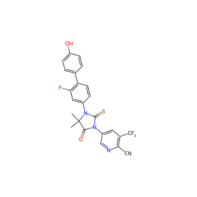 CC1(C)C(=O)N(c2cnc(C#N)c(C(F)(F)F)c2)C(=S)N1c1ccc(-c2ccc(O)cc2)c(F)c1